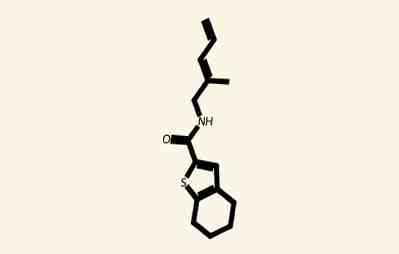 C=C/C=C(\C)CNC(=O)c1cc2c(s1)CCCC2